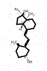 C=C1CC[C@@H](O)C/C1=C/C=C1\CCC[C@@]2(C)[C@H]1CC[C@]2(O)C(C)=O